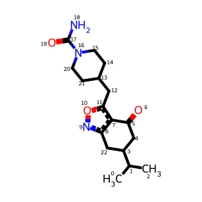 CC(C)C1CC(=O)c2c(noc2CC2CCN(C(N)=O)CC2)C1